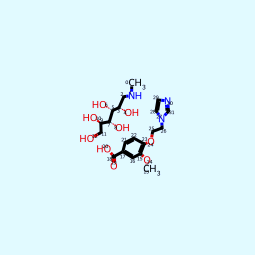 CNC[C@H](O)[C@@H](O)[C@H](O)[C@H](O)CO.COc1cc(C(=O)O)ccc1OCCn1ccnc1